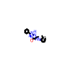 Cc1ccccc1NCc1cc(=O)n2nc(-c3ccccc3)nc2[nH]1